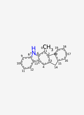 Cc1c2c(cc3c1[nH]c1ccccc13)Cc1ccccc1-2